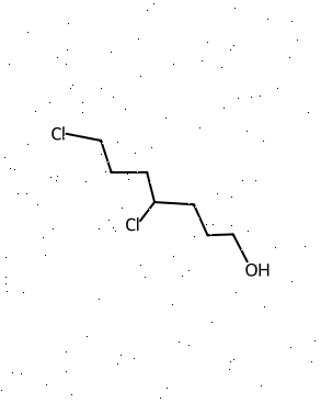 OCCCC(Cl)CCCCl